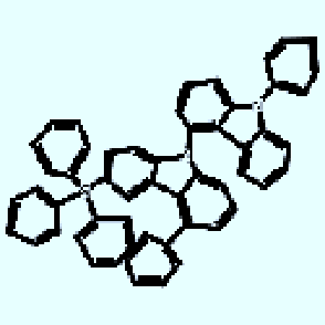 c1ccc(-c2cccc3c2c2cc([Si](c4ccccc4)(c4ccccc4)c4ccccc4)ccc2n3-c2cccc3c2c2ccccc2n3-c2ccccc2)cc1